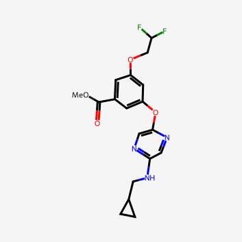 COC(=O)c1cc(OCC(F)F)cc(Oc2cnc(NCC3CC3)cn2)c1